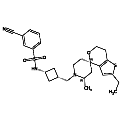 CCc1cc2c(s1)CCO[C@@]21CCN(C[C@H]2C[C@@H](NS(=O)(=O)c3cccc(C#N)c3)C2)[C@@H](C)C1